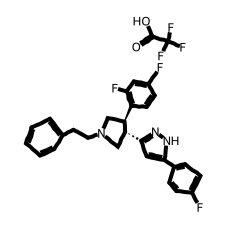 Fc1ccc(-c2cc([C@@H]3CN(CCc4ccccc4)C[C@H]3c3ccc(F)cc3F)n[nH]2)cc1.O=C(O)C(F)(F)F